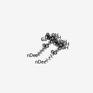 CCCCCCCCCCCCCCCCCC(=O)OCCCO[C@H]1O[C@H](CS(=O)(=O)[O-])[C@@H](O)[C@H](O)[C@H]1O.CCCCCCCCCCCCCCCCCC(=O)OCCCO[C@H]1O[C@H](CS(=O)(=O)[O-])[C@@H](O)[C@H](O)[C@H]1O.[Ca+2]